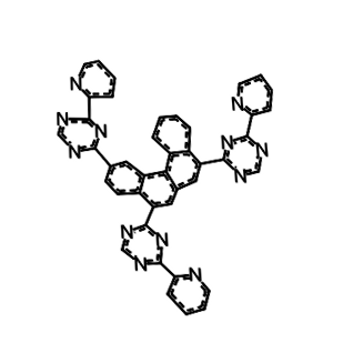 c1ccc(-c2ncnc(-c3ccc4c(-c5ncnc(-c6ccccn6)n5)cc5cc(-c6ncnc(-c7ccccn7)n6)c6ccccc6c5c4c3)n2)nc1